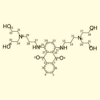 O=C1c2ccccc2C(=O)c2c(NCCCN(CCO)CCO)ccc(NCCCN(CCO)CCO)c21